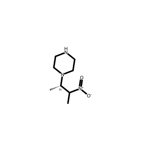 CC([C@H](C)N1CCNCC1)[N+](=O)[O-]